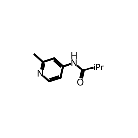 Cc1cc(NC(=O)C(C)C)ccn1